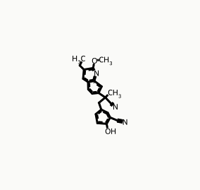 CCc1cc2ccc(C(C)(C#N)Cc3ccc(O)c(C#N)c3)cc2nc1OC